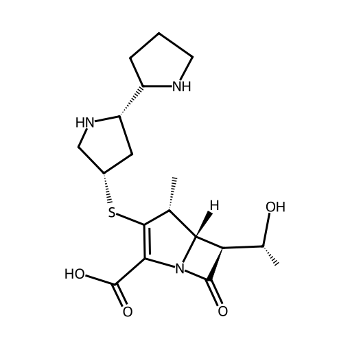 C[C@@H](O)[C@H]1C(=O)N2C(C(=O)O)=C(S[C@@H]3CN[C@H](C4CCCN4)C3)[C@H](C)[C@H]12